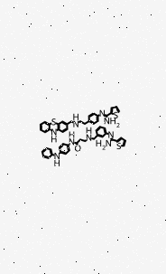 NC(=Nc1ccc(CCNCc2ccc3c(c2)Sc2ccccc2N3)cc1)c1cccs1.NC(=Nc1cccc(CNCCC(=O)Nc2ccc(Nc3ccccc3)cc2)c1)c1cccs1